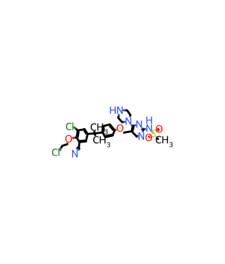 CC(C)(c1ccc(OCc2cnc(NS(C)(=O)=O)nc2N2CCNCC2)cc1)c1cc(Cl)c(OCCCl)c(C#N)c1